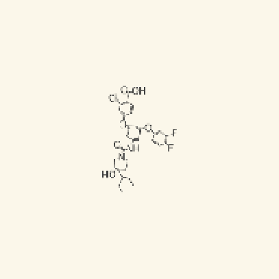 CCC(CC)C1(O)CCN(C(=O)Nc2cc(Oc3ccc(F)c(F)c3)cc(Oc3ccc(C(=O)O)c(Cl)c3)c2)CC1